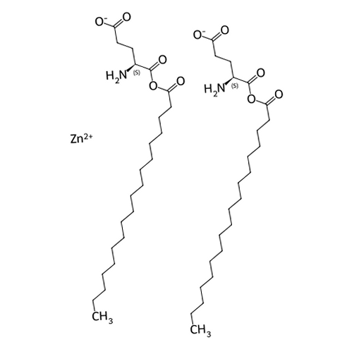 CCCCCCCCCCCCCCCCCC(=O)OC(=O)[C@@H](N)CCC(=O)[O-].CCCCCCCCCCCCCCCCCC(=O)OC(=O)[C@@H](N)CCC(=O)[O-].[Zn+2]